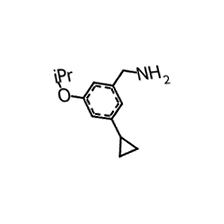 CC(C)Oc1cc(CN)cc(C2CC2)c1